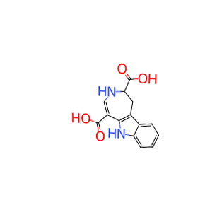 O=C(O)C1=CNC(C(=O)O)Cc2c1[nH]c1ccccc21